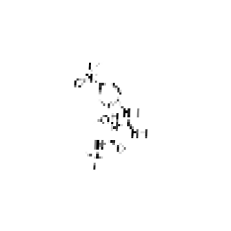 COc1cc([N+](=O)[O-])ccc1NC(=N)NC(=O)NC(C)(C)C